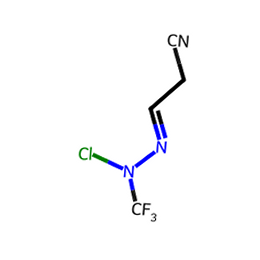 N#CCC=NN(Cl)C(F)(F)F